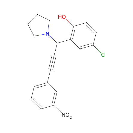 O=[N+]([O-])c1cccc(C#CC(c2cc(Cl)ccc2O)N2CCCC2)c1